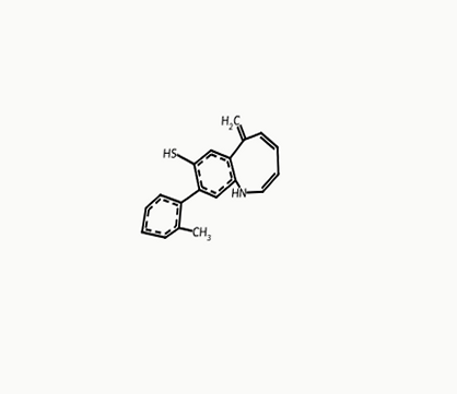 C=C1/C=C\C=C/Nc2cc(-c3ccccc3C)c(S)cc21